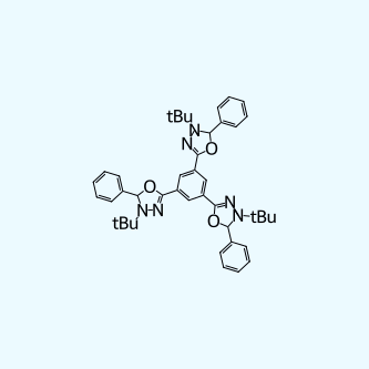 CC(C)(C)N1N=C(c2cc(C3=NN(C(C)(C)C)C(c4ccccc4)O3)cc(C3=NN(C(C)(C)C)C(c4ccccc4)O3)c2)OC1c1ccccc1